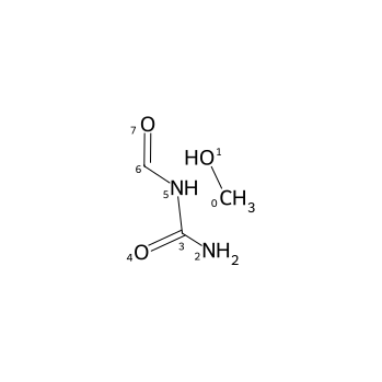 CO.NC(=O)NC=O